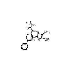 CNC(=O)c1cn2c(C)c(C)nc2c2c1CC[C@H](c1ccccc1)N2